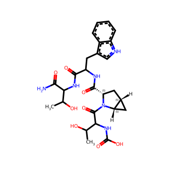 CC(O)C(NC(=O)C(Cc1c[nH]c2ccccc12)NC(=O)[C@@H]1C[C@@H]2C[C@@H]2N1C(=O)C(NC(=O)O)C(C)O)C(N)=O